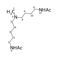 CC(=O)NCCCCCN(C)CCCCNC(C)=O